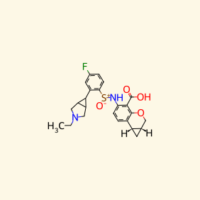 CCN1CC2C(C1)C2c1cc(F)ccc1[S+]([O-])Nc1ccc2c(c1C(=O)O)OC[C@@H]1C[C@H]21